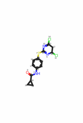 O=C(Nc1ccc(SC2=NC(Cl)CC(Cl)=N2)cc1)C1CC1